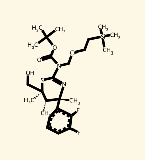 C[C@@H]1[C@@](C)(CO)SC(N(COCC[Si](C)(C)C)C(=O)OC(C)(C)C)=N[C@]1(C)c1cccc(F)c1F